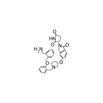 NCc1ccccc1COc1ccccc1CN1CC[C@H](Oc2ccc3c(c2)CN(C2CCC(=O)NC2=O)C3=O)C1